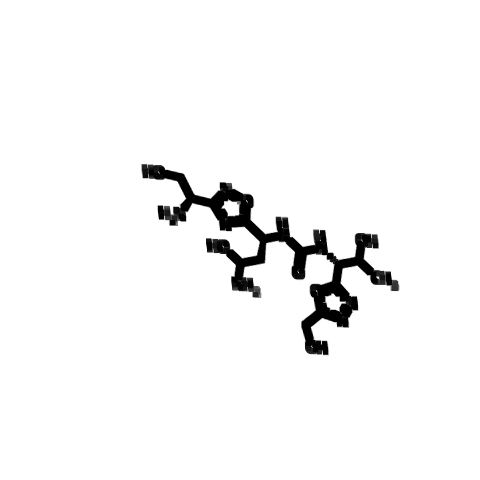 CC(O)[C@@H](NC(=O)N[C@@H](CC(N)O)c1nc([C@@H](N)CO)no1)c1nnc(CO)o1